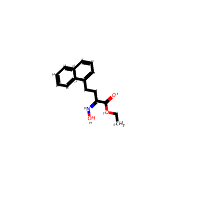 CCOC(=O)C(CCc1cccc2ccccc12)=NO